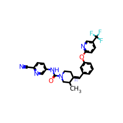 CC1CN(C(=O)Nc2ccc(C#N)nc2)CC/C1=C\c1cccc(Oc2ccc(C(F)(F)F)cn2)c1